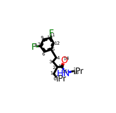 CC(C)CC(CCc1cc(F)cc(F)c1)C(=O)NC(C)C